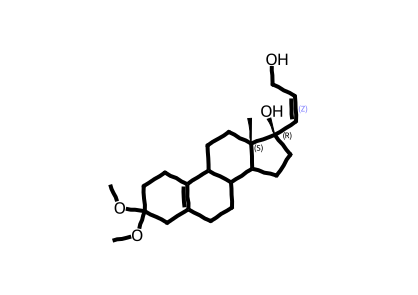 COC1(OC)CCC2=C(CCC3C2CC[C@@]2(C)C3CC[C@@]2(O)/C=C\CO)C1